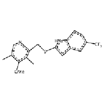 COc1c(C)cnc(CSc2cc3cc(C(F)(F)F)ccc3[nH]2)c1C